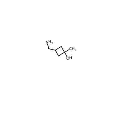 CC1(O)CC(CN)C1